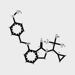 COc1ccc(CNc2cccc3c2C(=O)N(C(C2CC2)C(C)(C)O)C3)cc1